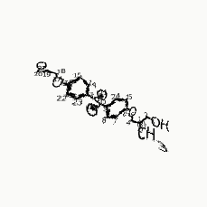 C[C@H](CO)COc1ccc(S(=O)(=O)c2ccc(OCC3CO3)cc2)cc1